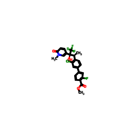 COC(=O)c1ccc(-c2ccc([C@H](C)[C@](O)(c3ccc(=O)n(C)c3)C(F)(F)F)c(Cl)c2)cc1F